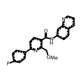 COCc1nc(-c2ccc(F)cc2)ccc1C(=O)Nc1ccc2cccnc2c1